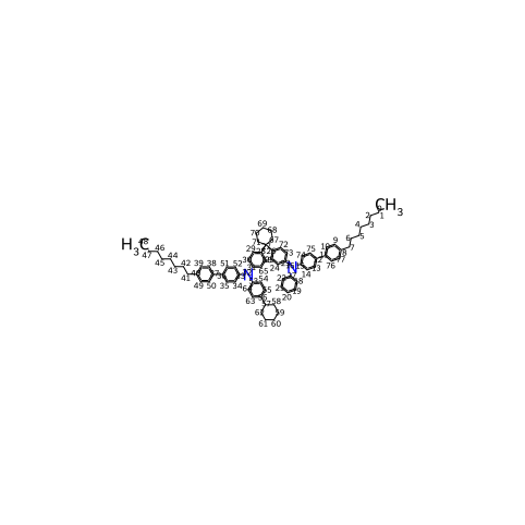 CCCCCCCCc1ccc(-c2ccc(N(c3ccccc3)c3ccc(C4(c5ccc(N(c6ccc(-c7ccc(CCCCCCCC)cc7)cc6)c6ccc(C7CCCCC7)cc6)cc5)CCCCC4)cc3)cc2)cc1